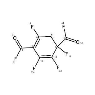 O=C(F)C1=C(F)CC(F)(C(=O)F)C(F)=C1F